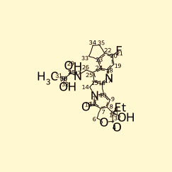 CC[C@@]1(O)C(=O)OCc2c1cc1n(c2=O)Cc2c-1nc1cc(F)c3c(c1c2CNC(=O)[C@@H](C)O)CCC3